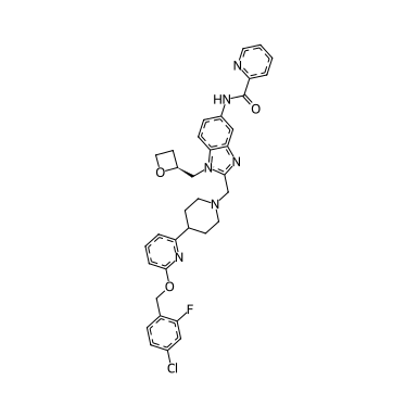 O=C(Nc1ccc2c(c1)nc(CN1CCC(c3cccc(OCc4ccc(Cl)cc4F)n3)CC1)n2C[C@@H]1CCO1)c1ccccn1